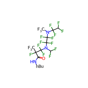 CCCCNC(=O)C(F)(C(F)(F)F)C(F)(F)N(C(F)F)C(F)(F)C(F)(F)N(C(F)(F)F)C(F)(F)C(F)F